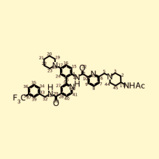 CC(=O)NC1CCN(Cc2cccc(C(=O)Nc3ccc(N4CCCCC4)cc3-c3cc(C(=O)NCc4cccc(C(F)(F)F)c4)ccn3)n2)CC1